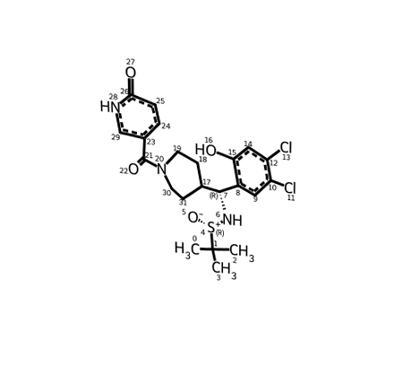 CC(C)(C)[S@+]([O-])N[C@@H](c1cc(Cl)c(Cl)cc1O)C1CCN(C(=O)c2ccc(=O)[nH]c2)CC1